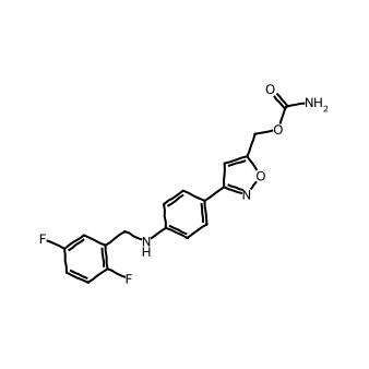 NC(=O)OCc1cc(-c2ccc(NCc3cc(F)ccc3F)cc2)no1